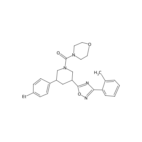 CCc1ccc(C2CC(c3nc(-c4ccccc4C)no3)CN(C(=O)N3CCOCC3)C2)cc1